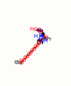 CCCN(CCCN/C(=N/CCOCCOCCOCCOCCOCCOCCOCCOCCOCCOCCC(=O)OC(C)(C)C)Nc1cccc(C#N)c1)C(=O)C1=Cc2ccc(-c3cccc(S(=O)(=O)N4CC(CO)C4)c3)cc2N=C(N)C1